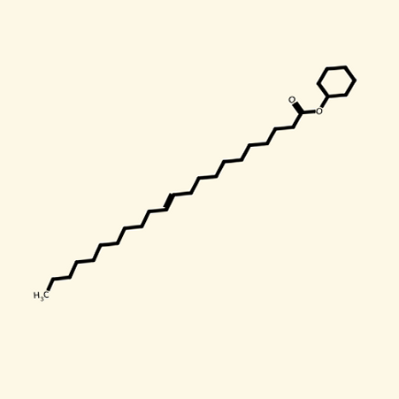 CCCCCCCCCCC=CCCCCCCCCCC(=O)OC1CCCCC1